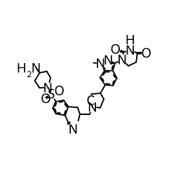 CC(Cc1cc(S(=O)(=O)N2CCC(N)CC2)ccc1C#N)CN1CCC(c2ccc3c(N4CCC(=O)NC4=O)nn(C)c3c2)CC1